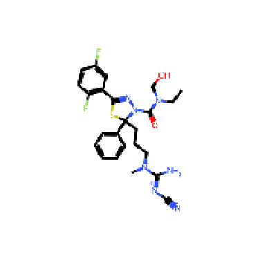 CCN(CO)C(=O)N1N=C(c2cc(F)ccc2F)SC1(CCCN(C)/C(N)=N/C#N)c1ccccc1